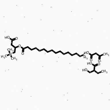 CC(=O)CC(=O)O.CCC(CO)C(=O)O.CCCCCCCCCCCCCCCC(=O)OC(CC(=O)O)C[N+](C)(C)C